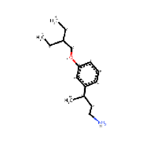 CCC(CC)COc1cccc(C(C)CCN)c1